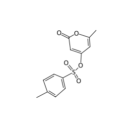 Cc1ccc(S(=O)(=O)Oc2cc(C)oc(=O)c2)cc1